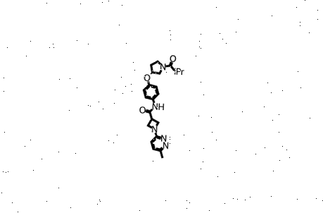 Cc1ccc(N2CC(C(=O)Nc3ccc(O[C@@H]4CCN(C(=O)C(C)C)C4)cc3)C2)nn1